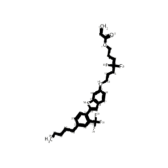 C=CC(=O)OCCCC(F)(F)CCCOc1ccc2cc(-c3ccc(CCCCC)cc3C(F)(F)F)sc2c1